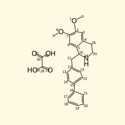 COc1cc2c(cc1OC)C(Cc1ccc(-c3ccccc3)cc1)NCC2.O=C(O)C(=O)O